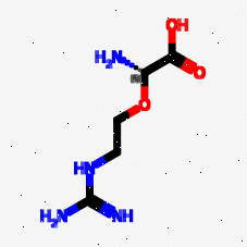 N=C(N)NCCO[C@H](N)C(=O)O